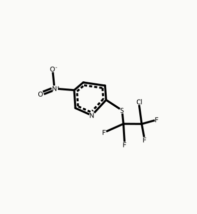 O=[N+]([O-])c1ccc(SC(F)(F)C(F)(F)Cl)nc1